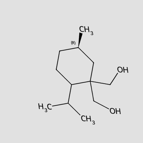 CC(C)C1CC[C@@H](C)CC1(CO)CO